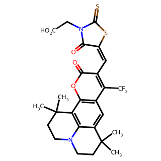 CC1(C)CCN2CCC(C)(C)c3c2c1cc1c(C(F)(F)F)c(/C=C2/SC(=S)N(CC(=O)O)C2=O)c(=O)oc31